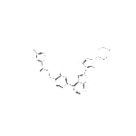 Cc1cc(-c2ncnc3[nH]c(-c4c(C)nn(C5CCNCC5)c4C)cc23)ccc1[C@@H](C)NC(=O)c1nc(C(C)(C)C)no1